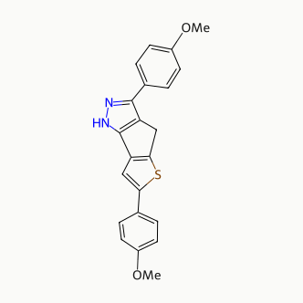 COc1ccc(-c2cc3c(s2)Cc2c(-c4ccc(OC)cc4)n[nH]c2-3)cc1